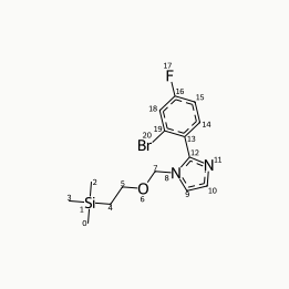 C[Si](C)(C)CCOCn1ccnc1-c1ccc(F)cc1Br